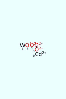 [Cd+2].[O-2].[O-2].[O-2].[O-2].[W]